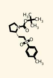 Cc1ccc(S(=O)(=O)CC[C@@H]2CCCN2C(=O)OC(C)(C)C)cc1